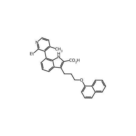 CCc1nccc(C)c1-c1cccc2c(CCCOc3cccc4ccccc34)c(C(=O)O)[nH]c12